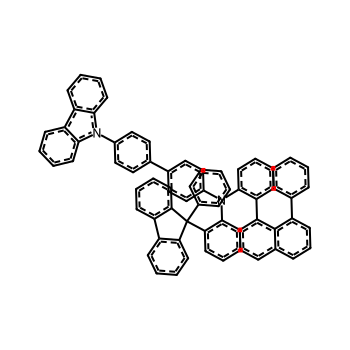 c1ccc(-c2cccc3cccc(-c4ccccc4N(c4ccc(-c5ccc(-n6c7ccccc7c7ccccc76)cc5)cc4)c4ccccc4C4(c5ccccc5)c5ccccc5-c5ccccc54)c23)cc1